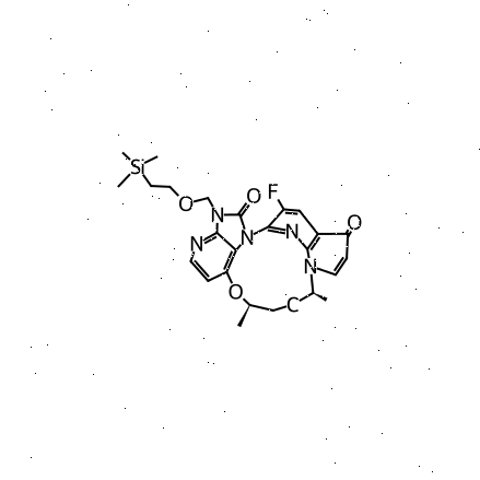 C[C@@H]1CC[C@H](C)n2ccc(=O)c3cc(F)c(nc32)-n2c(=O)n(COCC[Si](C)(C)C)c3nccc(c32)O1